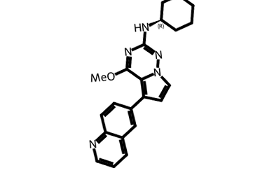 COc1nc(N[C@@H]2CCCOC2)nn2ccc(-c3ccc4ncccc4c3)c12